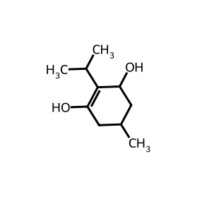 CC1CC(O)=C(C(C)C)C(O)C1